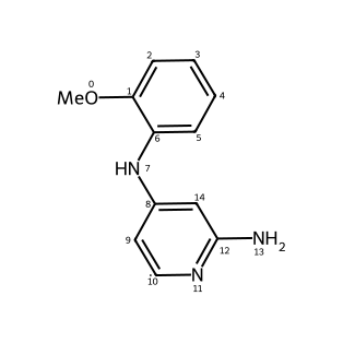 COc1ccccc1Nc1c[c]nc(N)c1